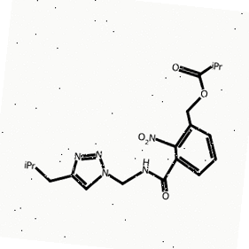 CC(C)Cc1cn(CNC(=O)c2cccc(COC(=O)C(C)C)c2[N+](=O)[O-])nn1